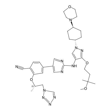 COC(C)(C)CCOc1nn([C@H]2CC[C@H](N3CCOCC3)CC2)cc1Nc1ncc(-c2ccc(C#N)c(O[C@@H](C)Cn3cnnn3)c2)cn1